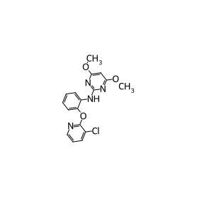 COc1cc(OC)nc(Nc2ccccc2Oc2ncccc2Cl)n1